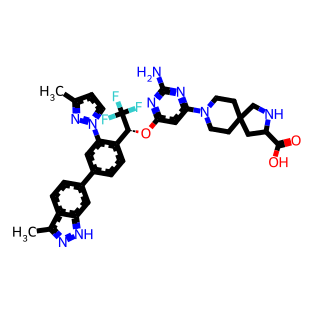 Cc1ccn(-c2cc(-c3ccc4c(C)n[nH]c4c3)ccc2[C@@H](Oc2cc(N3CCC4(CC3)CNC(C(=O)O)C4)nc(N)n2)C(F)(F)F)n1